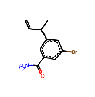 C=C[C](C)c1cc(Br)cc(C(N)=O)c1